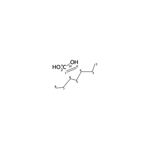 C=C.CCCCCCC.O=C(O)O